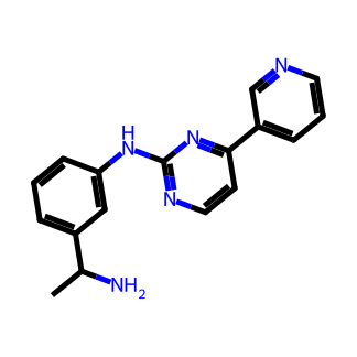 CC(N)c1cccc(Nc2nccc(-c3cccnc3)n2)c1